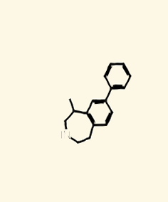 CC1CNCCc2ccc(-c3ccccc3)cc21